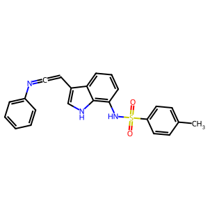 Cc1ccc(S(=O)(=O)Nc2cccc3c(C=C=Nc4ccccc4)c[nH]c23)cc1